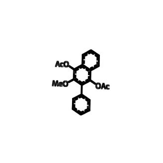 COc1c(-c2ccccc2)c(OC(C)=O)c2ccccc2c1OC(C)=O